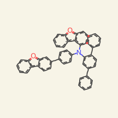 c1ccc(-c2ccc(-c3ccccc3)c(N(c3ccc(-c4ccc5c(c4)oc4ccccc45)cc3)c3cccc4oc5ccccc5c34)c2)cc1